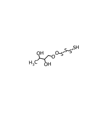 CC(O)C(O)COOSSSS